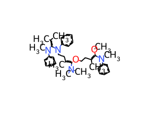 CO/C(=C(/C)CCO/C(=C(/C)CCN(C(=C(C)C)N(C)c1ccccc1)c1ccccc1)N(C)C)N(C)c1ccccc1